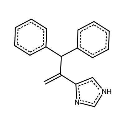 C=C(c1c[nH]cn1)C(c1ccccc1)c1ccccc1